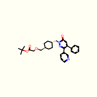 CC(C)(C)OC(=O)COC[C@H]1CC[C@H](Cn2nc(-c3cccnc3)c(-c3ccccc3)cc2=O)CC1